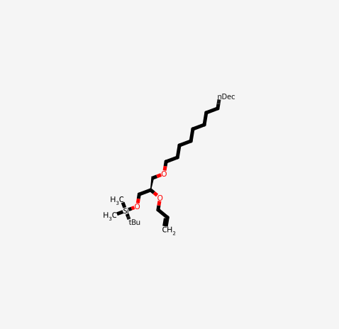 C=CCO[C@H](COCCCCCCCCCCCCCCCCCC)CO[Si](C)(C)C(C)(C)C